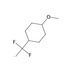 [CH2]C(F)(F)C1CCC(OC)CC1